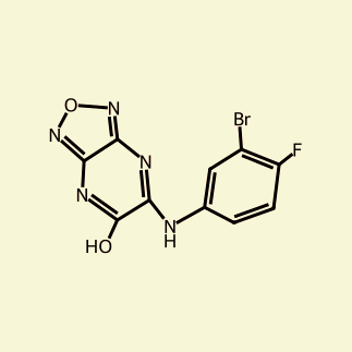 Oc1nc2nonc2nc1Nc1ccc(F)c(Br)c1